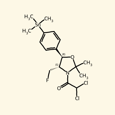 CC1(C)O[C@H](c2cc[c]([Sn]([CH3])([CH3])[CH3])cc2)[C@@H](CF)N1C(=O)C(Cl)Cl